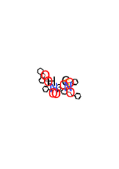 CS(=O)(=O)N(Cc1ccccc1)c1cc(C(=O)CN(CCOc2cccc3c4c(oc23)CCCC4)C(=O)c2ccccc2)ccc1OCc1ccccc1